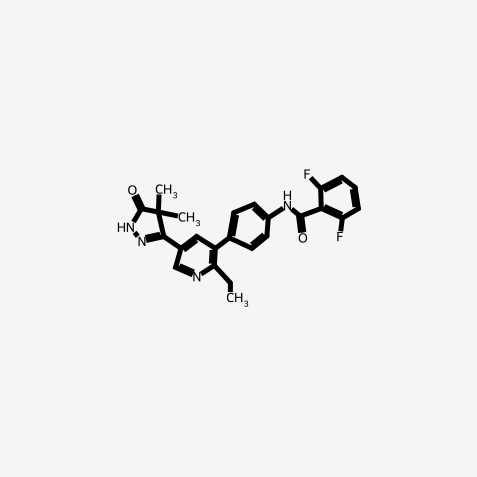 CCc1ncc(C2=NNC(=O)C2(C)C)cc1-c1ccc(NC(=O)c2c(F)cccc2F)cc1